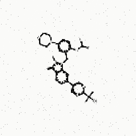 Cn1c(=O)c2ccc(-c3cnc(C(C)(C)O)nc3)cc2n1Cc1cc(N2CCOCC2)ccc1OC(F)F